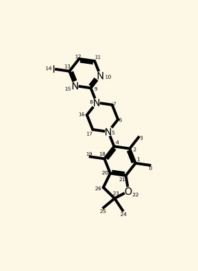 Cc1c(C)c(N2CCN(c3nccc(I)n3)CC2)c(C)c2c1OC(C)(C)C2